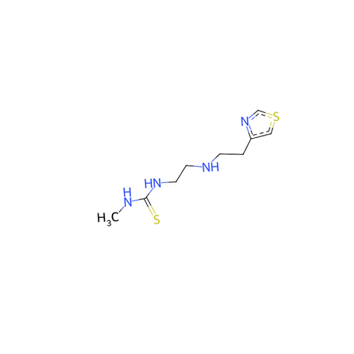 CNC(=S)NCCNCCc1cscn1